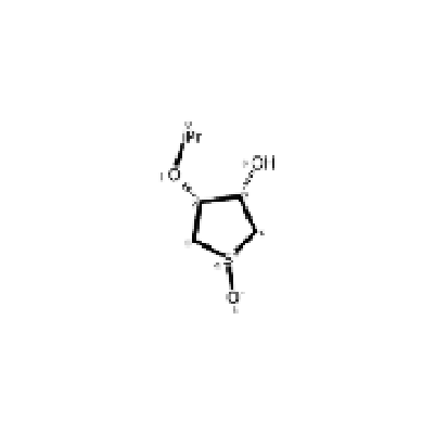 CC(C)O[C@H]1C[S+]([O-])C[C@H]1O